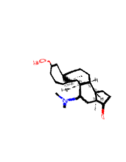 CN(C)C1C[C@]2(C)C(=O)CC[C@H]2[C@@H]2CCC3CC(O)CC[C@]3(C)[C@H]12